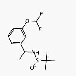 CC(N[S@@+]([O-])C(C)(C)C)c1cccc(OC(F)F)c1